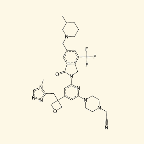 CC1CCCN(Cc2cc3c(c(C(F)(F)F)c2)CN(c2cc(C4(Cc5nncn5C)COC4)cc(N4CCN(CC#N)CC4)n2)C3=O)C1